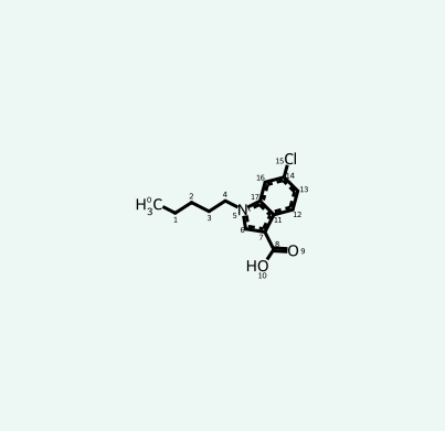 CCCCCn1cc(C(=O)O)c2ccc(Cl)cc21